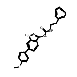 COc1ccc(-c2ccc3c(NC(=O)NCCc4ccccc4)n[nH]c3c2)cc1